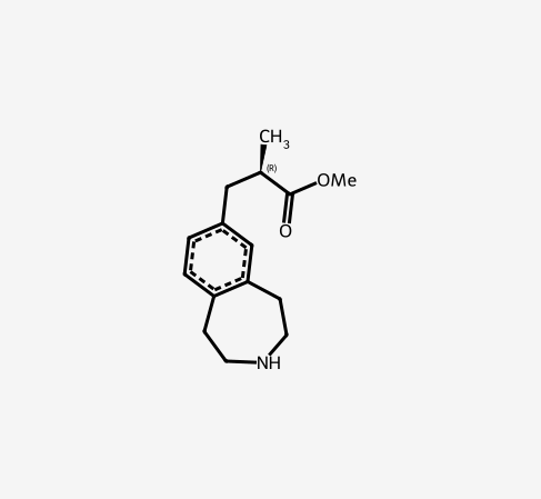 COC(=O)[C@H](C)Cc1ccc2c(c1)CCNCC2